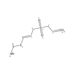 C=CCS(=O)(=O)CC=CSSCCC